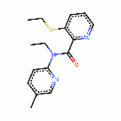 CCSc1cccnc1C(=O)N(CC)c1ccc(C)cn1